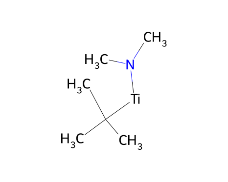 C[N](C)[Ti][C](C)(C)C